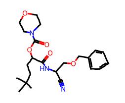 CC(C)(C)CCC(OC(=O)N1CCOCC1)C(=O)NC(C#N)COCc1ccccc1